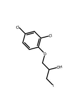 OC(CI)COc1ccc(Cl)cc1Cl